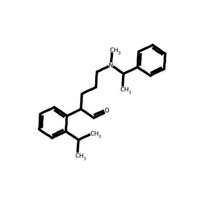 CC(C)c1ccccc1C(C=O)CCCN(C)C(C)c1ccccc1